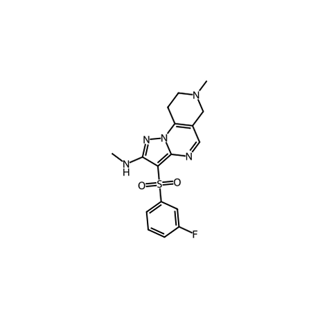 CNc1nn2c3c(cnc2c1S(=O)(=O)c1cccc(F)c1)CN(C)CC3